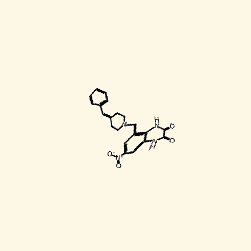 O=c1[nH]c2cc([N+](=O)[O-])cc(CN3CCC(=Cc4ccccc4)CC3)c2[nH]c1=O